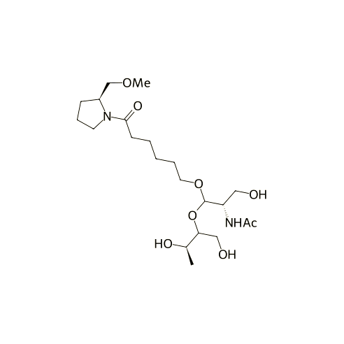 COC[C@@H]1CCCN1C(=O)CCCCCOC(OC(CO)[C@@H](C)O)[C@H](CO)NC(C)=O